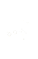 CSC1O[C@H]([C@H](NC(=O)[C@H]2NC[C@@H]3CC=CCO[C@H]32)[C@H](C)Sc2ccc(-c3cncnc3)cc2)C(O)[C@@H](O)[C@H]1O